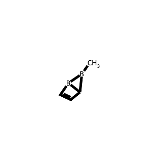 CB1B2C=CC12